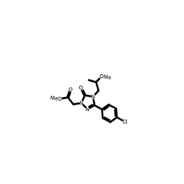 COC(=O)Cn1nc(-c2ccc(Cl)cc2)n(CC(C)OC)c1=O